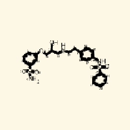 NS(=O)(=O)c1cccc(OC[C@@H](O)CNCCc2ccc(NS(=O)(=O)c3ccccc3)cc2)c1